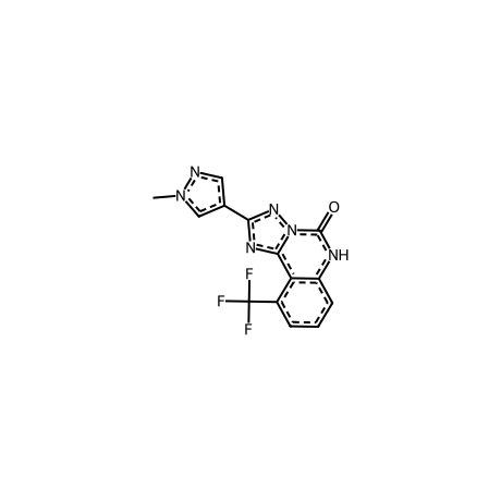 Cn1cc(-c2nc3c4c(C(F)(F)F)cccc4[nH]c(=O)n3n2)cn1